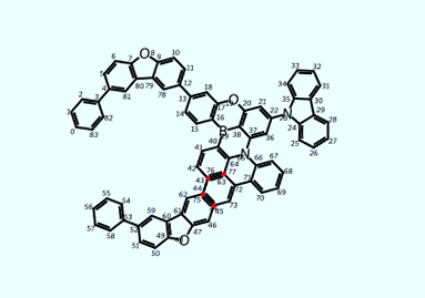 c1ccc(-c2ccc3oc4ccc(-c5ccc6c(c5)Oc5cc(-n7c8ccccc8c8ccccc87)cc7c5B6c5ccc(-c6ccc8oc9ccc(-c%10ccccc%10)cc9c8c6)cc5N7c5ccccc5-c5ccccc5)cc4c3c2)cc1